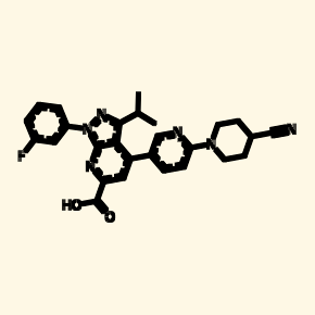 CC(C)c1nn(-c2cccc(F)c2)c2nc(C(=O)O)cc(-c3ccc(N4CCC(C#N)CC4)nc3)c12